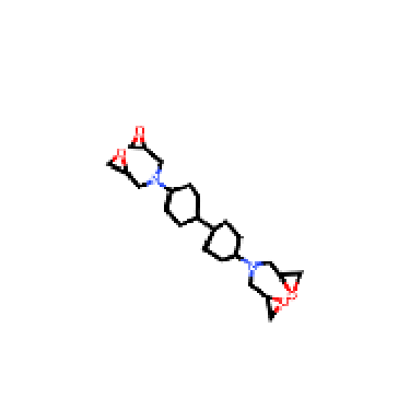 C1OC1CN(CC1CO1)C1CCC(C2CCC(N(CC3CO3)CC3CO3)CC2)CC1